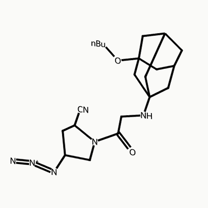 CCCCOC12CC3CC(CC(NCC(=O)N4CC(N=[N+]=[N-])CC4C#N)(C3)C1)C2